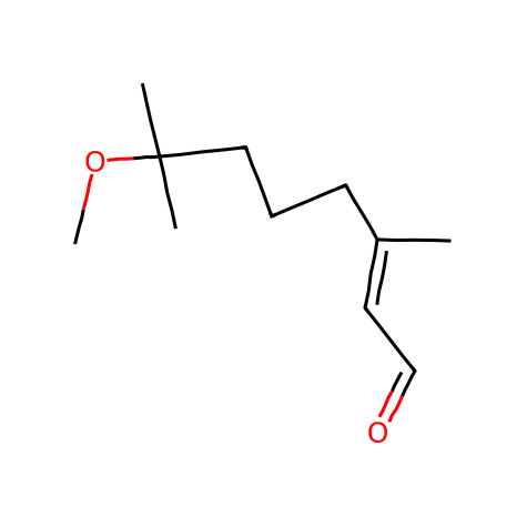 COC(C)(C)CCCC(C)=CC=O